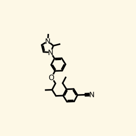 CCc1cc(C#N)ccc1CC(C)COc1cccc(N2C=CN(C)C2C)c1